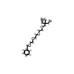 BrCC(CBr)(CBr)COCCOCCOCCOCc1ccccc1